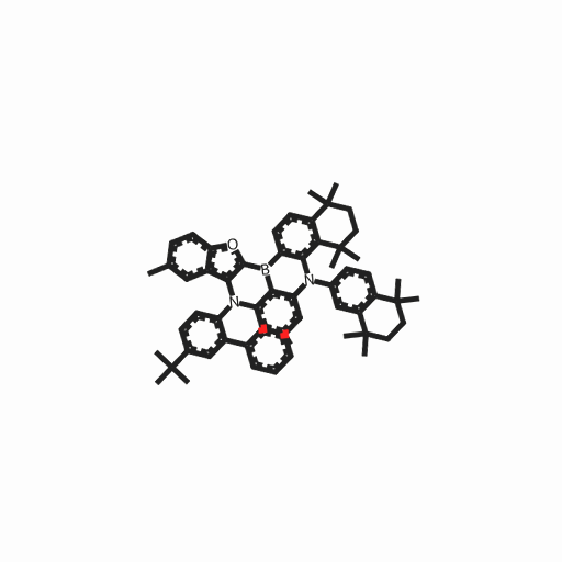 Cc1cc2c3c(c1)N(c1ccc(C(C)(C)C)cc1-c1ccccc1)c1c(oc4ccc(C)cc14)B3c1ccc3c(c1N2c1ccc2c(c1)C(C)(C)CCC2(C)C)C(C)(C)CCC3(C)C